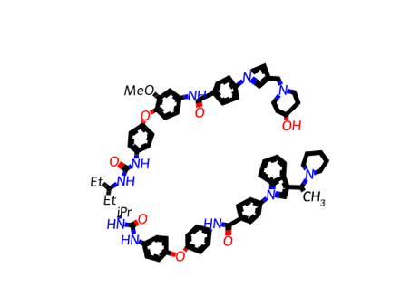 CC(C)NC(=O)Nc1ccc(Oc2ccc(NC(=O)c3ccc(-n4cc(C(C)N5CCCCC5)c5ccccc54)cc3)cc2)cc1.CCC(CC)NC(=O)Nc1ccc(Oc2ccc(NC(=O)c3ccc(-n4ccc(CN5CCC(O)CC5)c4)cc3)cc2OC)cc1